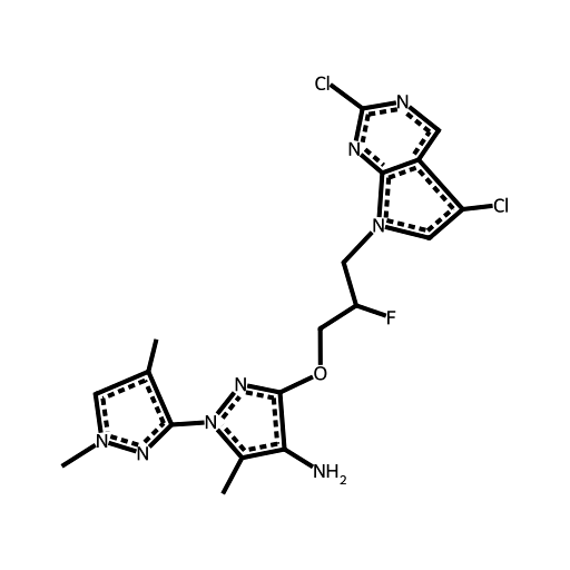 Cc1cn(C)nc1-n1nc(OCC(F)Cn2cc(Cl)c3cnc(Cl)nc32)c(N)c1C